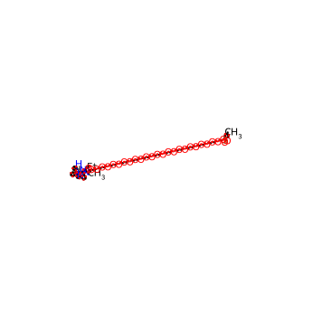 CCOCc1nc2c(NC(c3ccccc3)(c3ccccc3)c3ccccc3)nc3ccccc3c2n1CC(C)(C)OCCOCCOCCOCCOCCOCCOCCOCCOCCOCCOCCOCCOCCOCCOCCOCCOCCOCCOCCOCCOCCOCCOCCOCCOS(=O)(=O)c1ccc(C)cc1